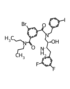 CCCN(CCC)C(=O)c1cc(Br)cc(C(=O)N(Cc2cccc(I)c2)C[C@@H](O)[C@@H](N)Cc2cc(F)cc(F)c2)c1